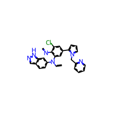 C=CN(c1ccc2cn[nH]c2c1)c1cc(-c2cccn2Cc2ccccn2)cc(Cl)c1N=C